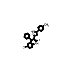 Cc1ccc(C2CC(c3c(-c4ccccc4)c4cc(Cl)ccc4[nH]c3=O)=NN2)cc1